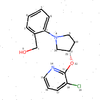 OCc1c[c]ccc1N1CC[C@H](Oc2ncccc2Cl)C1